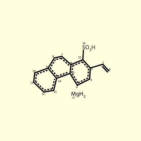 C=Cc1ccc2c(ccc3ccccc32)c1S(=O)(=O)O.[MgH2]